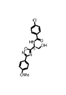 COc1ccc(-c2noc([C@H](CO)NC(=O)c3ccc(Cl)cc3)n2)cc1